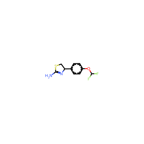 NC1=NC(c2ccc(OC(F)F)cc2)CS1